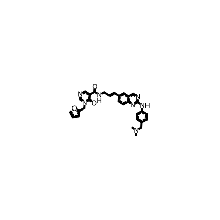 CN(C)Cc1ccc(Nc2ncc3cc(/C=C/CNC(=O)c4cncn(Cc5ccco5)c4=O)ccc3n2)cc1